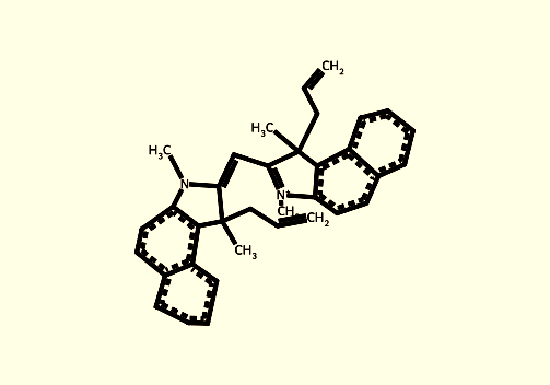 C=CCC1(C)C(/C=C2/N(C)c3ccc4ccccc4c3C2(C)CC=C)=[N+](C)c2ccc3ccccc3c21